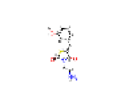 COc1cccc(/C=C2\SC(=O)N(CCN)C2=O)c1